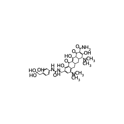 CN(C)c1cc(CNC(=O)Nc2ccc(CC(O)(O)O)cc2)c(O)c2c1CC1CC3C(C(=O)C(C(N)=O)=C(O)[C@@H]3N(C)C)C(O)=C1C2=O